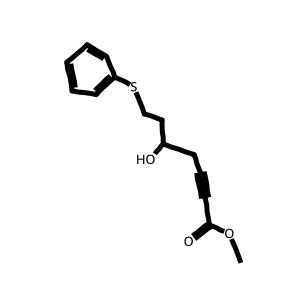 COC(=O)C#CCC(O)CCSc1ccccc1